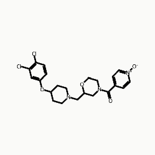 O=C(c1cc[n+]([O-])cc1)N1CCOC(CN2CCC(Oc3ccc(Cl)c(Cl)c3)CC2)C1